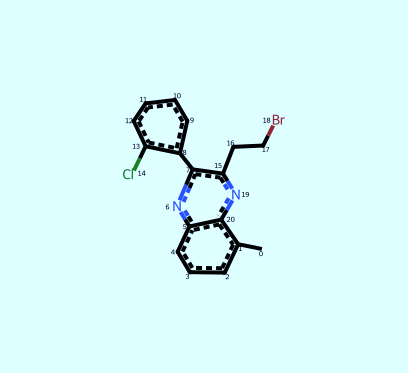 Cc1cccc2nc(-c3ccccc3Cl)c(CCBr)nc12